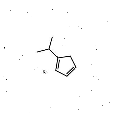 CC(C)C1=CC=CC1.[K]